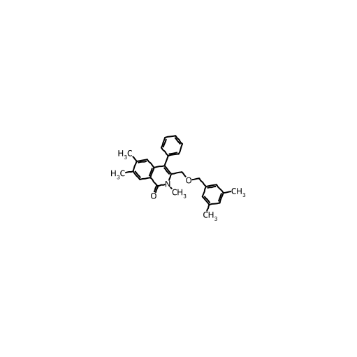 Cc1cc(C)cc(COCc2c(-c3ccccc3)c3cc(C)c(C)cc3c(=O)n2C)c1